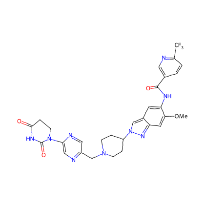 COc1cc2nn(C3CCN(Cc4cnc(N5CCC(=O)NC5=O)cn4)CC3)cc2cc1NC(=O)c1ccc(C(F)(F)F)nc1